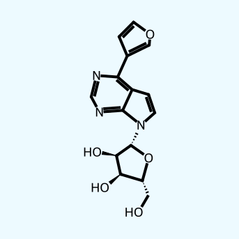 OC[C@H]1O[C@@H](n2ccc3c(-c4ccoc4)ncnc32)[C@H](O)[C@@H]1O